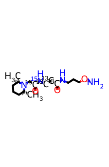 C[C@@H]1CCC[C@H](C)N1C[13C](=O)[15NH][13CH2][13CH2][13C](=O)NCCCON